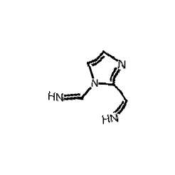 N=Cc1nccn1C=N